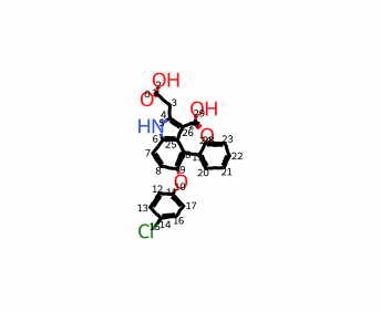 O=C(O)Cc1[nH]c2ccc(Oc3ccc(Cl)cc3)c(-c3ccccc3)c2c1C(=O)O